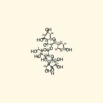 O=c1c(O[C@@H]2O[C@H](CO)[C@@H](O)[C@H](O)[C@H]2O[C@@H]2O[C@H](CO)[C@@H](O)[C@H](O)[C@H]2O)c(-c2ccc(O)cc2)oc2cc(O)cc(O)c12